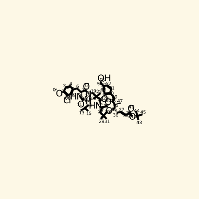 COc1ccc(CC(NC(=O)OC(C)(C)C)C(=O)NCC(C)(C)C(=O)NC(CC(C)(C)C)C(=O)O[C@@H](C/C=C/C(=O)OC(C)(C)C)[C@H](C)/C=C/c2ccc(CO)cc2)cc1Cl